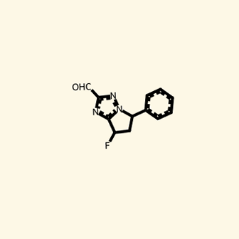 O=Cc1nc2n(n1)C(c1ccccc1)CC2F